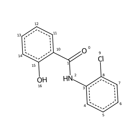 O=C(Nc1ccccc1Cl)c1ccccc1O